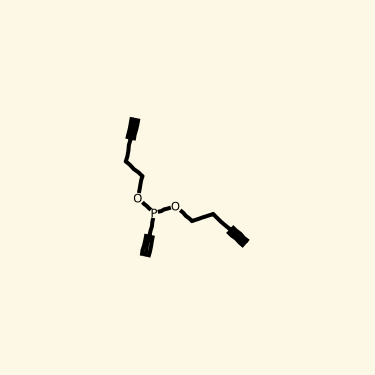 C#CCCOP(C#C)OCCC#C